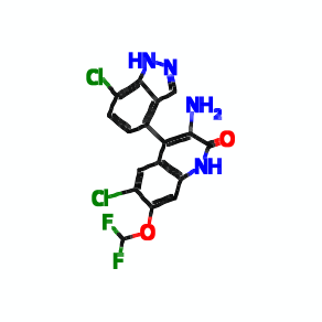 Nc1c(-c2ccc(Cl)c3[nH]ncc23)c2cc(Cl)c(OC(F)F)cc2[nH]c1=O